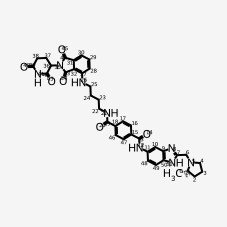 C[C@H]1CCCN1Cc1nc2cc(NC(=O)c3ccc(C(=O)NCCCCNc4cccc5c4C(=O)N(C4CCC(=O)NC4=O)C5=O)cc3)ccc2[nH]1